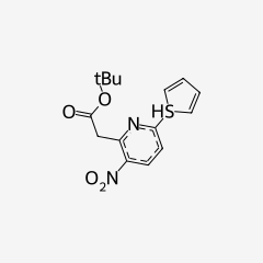 CC(C)(C)OC(=O)Cc1nc([SH]2C=CC=C2)ccc1[N+](=O)[O-]